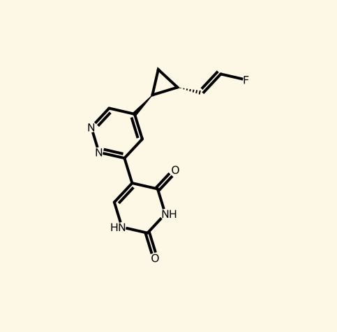 O=c1[nH]cc(-c2cc([C@H]3C[C@@H]3/C=C/F)cnn2)c(=O)[nH]1